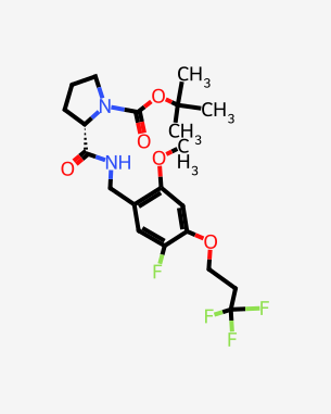 COc1cc(OCCC(F)(F)F)c(F)cc1CNC(=O)[C@@H]1CCCN1C(=O)OC(C)(C)C